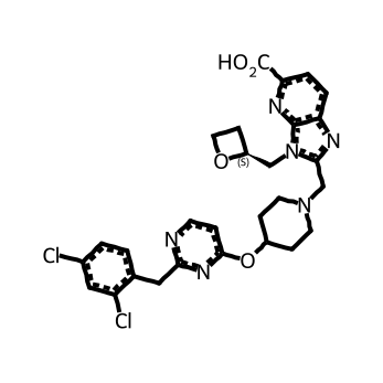 O=C(O)c1ccc2nc(CN3CCC(Oc4ccnc(Cc5ccc(Cl)cc5Cl)n4)CC3)n(C[C@@H]3CCO3)c2n1